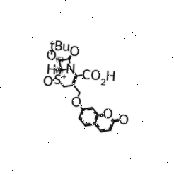 CC(C)(C)O[C@H]1C(=O)N2C(C(=O)O)=C(COc3ccc4ccc(=O)oc4c3)C[S+]([O-])[C@H]12